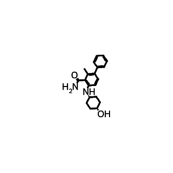 Cc1c(-c2ccccc2)ccc(N[C@H]2CC[C@H](O)CC2)c1C(N)=O